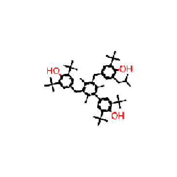 Cc1c(Cc2cc(CC(C)C)c(O)c(C(C)(C)C)c2)c(C)c(-c2cc(C(C)(C)C)c(O)c(C(C)(C)C)c2)c(C)c1Cc1cc(C(C)(C)C)c(O)c(C(C)(C)C)c1